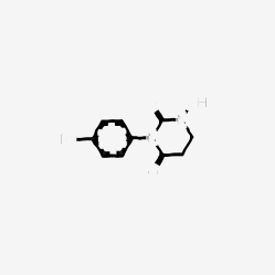 CN1CCC(=O)N(c2ccc(Br)cc2)C1=O